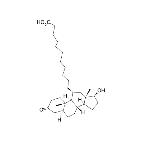 C[C@]12CCC(=O)C[C@@H]1CC[C@@H]1[C@@H]2[C@@H](CCCCCCCCCCC(=O)O)C[C@]2(C)[C@@H](O)CC[C@@H]12